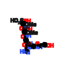 COc1c(NC(=O)c2ccc(NC(=O)c3ccc(NC(=O)C(Cc4cnc[nH]4)NC(=O)c4ccc(NC(=O)/C(C)=C/c5ccc(O)cc5)cc4)cc3)c(OC)c2O)ccc(C(=O)O)c1O